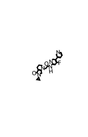 O=C(CN1CCCC2=C1CN(C1CC1)C2=O)Nc1cc(F)c(-c2cccnc2)cn1